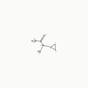 NC(=O)N(S)C1CC1